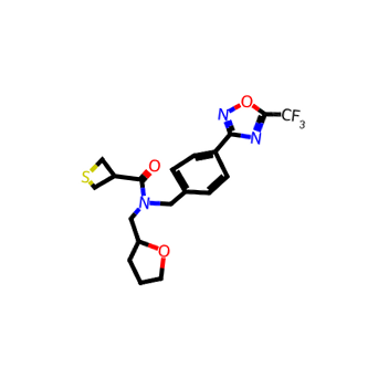 O=C(C1CSC1)N(Cc1ccc(-c2noc(C(F)(F)F)n2)cc1)CC1CCCO1